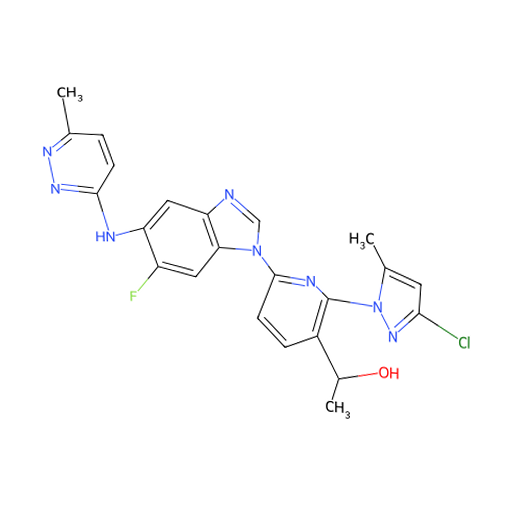 Cc1ccc(Nc2cc3ncn(-c4ccc(C(C)O)c(-n5nc(Cl)cc5C)n4)c3cc2F)nn1